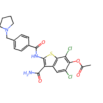 CC(=O)Oc1c(Cl)cc2c(C(N)=O)c(NC(=O)c3ccc(CN4CCCC4)cc3)sc2c1Cl